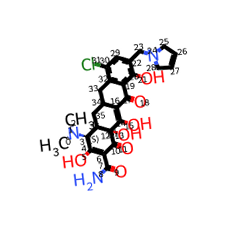 CN(C)[C@@H]1C(O)=C(C(N)=O)C(=O)[C@@]2(O)C(O)=C3C(=O)c4c(O)c(CN5CC=CC5)cc(Cl)c4CC3CC12